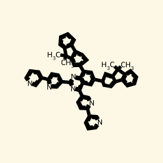 CC1(C)C2=CC(c3cc(-c4ccc5c(c4)C(C)(C)c4ccccc4-5)c4nc(-c5ccc(-c6cccnc6)nc5)nc(-c5ccc(-c6cccnc6)nc5)c4c3)CC=C2c2ccccc21